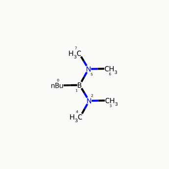 CCCCB(N(C)C)N(C)C